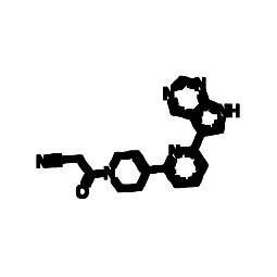 N#CCC(=O)N1CC=C(c2cccc(-c3c[nH]c4ncncc34)n2)CC1